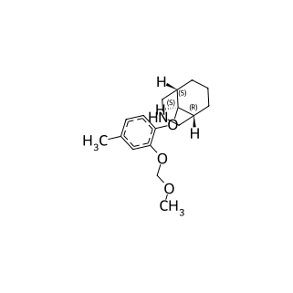 COCOc1cc(C)ccc1O[C@@H]1[C@@H]2CCC[C@H]1CNC2